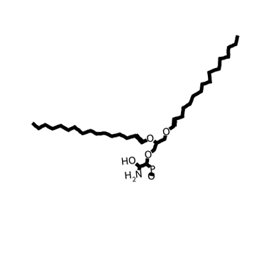 CCCCCCCCCCCCCCC=COCC(COC(P=O)C(N)O)OC=CCCCCCCCCCCCCCC